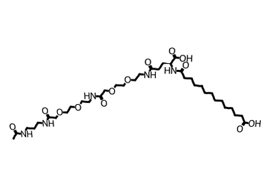 CC(=O)NCCCNC(=O)COCCOCCNC(=O)COCCOCCNC(=O)CC[C@H](NC(=O)CCCCCCCCCCCCC(=O)O)C(=O)O